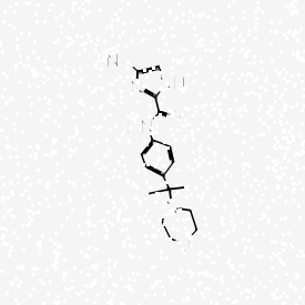 CC(C)(c1ccc(NC(=O)c2nc(C#N)c[nH]2)cc1)N1CCOCC1